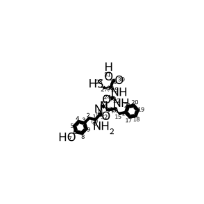 N[C@@H](Cc1ccc(O)cc1)c1nnc([C@H](Cc2ccccc2)NC(=O)N[C@@H](CS)C(=O)O)o1